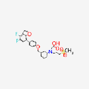 CS(=O)(=O)CCCN(CC(=O)O)c1cccc(COc2ccc(-c3cc(F)c(F)c4ccoc34)cc2)c1